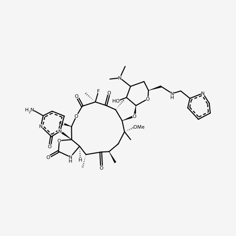 CC[C@H]1OC(=O)[C@@](C)(F)C(=O)[C@H](C)[C@@H](O[C@@H]2O[C@H](CNCc3ccccn3)CC(N(C)C)C2O)[C@](C)(OC)C[C@@H](C)C(=O)[C@H](C)[C@H]2NC(=O)O[C@@]21n1ccc(N)nc1=O